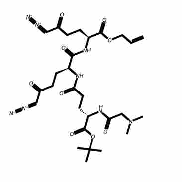 C=CCOC(=O)[C@H](CCC(=O)C=[N+]=[N-])NC(=O)[C@H](CCC(=O)C=[N+]=[N-])NC(=O)CC[C@H](NC(=O)CN(C)C)C(=O)OC(C)(C)C